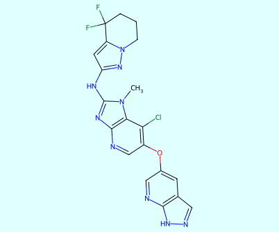 Cn1c(Nc2cc3n(n2)CCCC3(F)F)nc2ncc(Oc3cnc4[nH]ncc4c3)c(Cl)c21